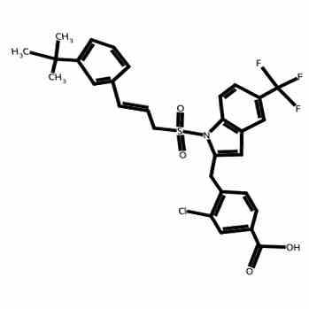 CC(C)(C)c1cccc(C=CCS(=O)(=O)n2c(Cc3ccc(C(=O)O)cc3Cl)cc3cc(C(F)(F)F)ccc32)c1